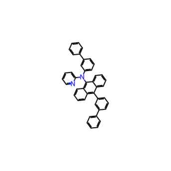 c1ccc(-c2cccc(-c3c4ccccc4c(N(c4cccc(-c5ccccc5)c4)c4ccccn4)c4ccccc34)c2)cc1